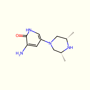 C[C@@H]1CN(c2c[nH]c(=O)c(N)c2)C[C@H](C)N1